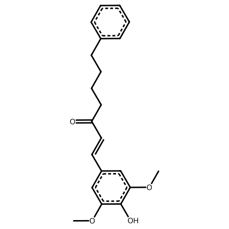 COc1cc(C=CC(=O)CCCCc2ccccc2)cc(OC)c1O